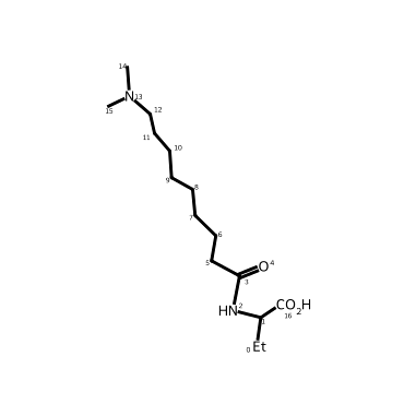 CCC(NC(=O)CCCCCCCCN(C)C)C(=O)O